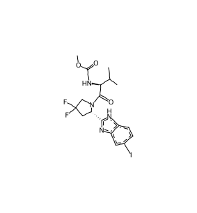 COC(=O)N[C@H](C(=O)N1CC(F)(F)C[C@H]1c1nc2cc(I)ccc2[nH]1)C(C)C